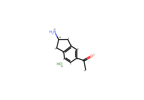 CC(=O)c1ccc2c(c1)CC(N)C2.Cl